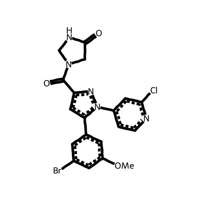 COc1cc(Br)cc(-c2cc(C(=O)N3CNC(=O)C3)nn2-c2ccnc(Cl)c2)c1